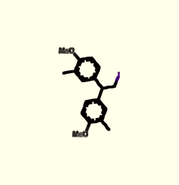 COc1ccc(C(CI)c2ccc(OC)c(C)c2)cc1C